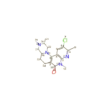 Cc1nc2c(cc1Cl)c1c(c(=O)n2C)CCC2CN(C)C(C)CN12